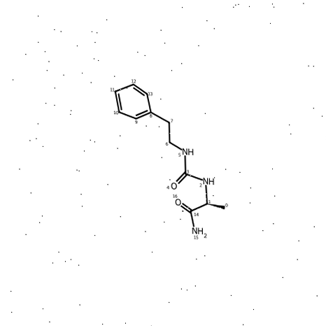 C[C@H](NC(=O)NCCc1ccccc1)C(N)=O